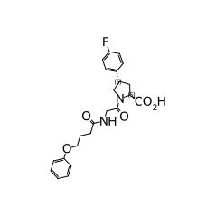 O=C(CCCOc1ccccc1)NCC(=O)N1C[C@H](c2ccc(F)cc2)C[C@H]1C(=O)O